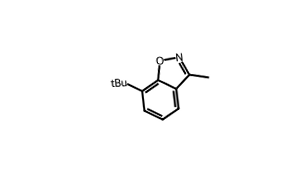 Cc1noc2c(C(C)(C)C)cccc12